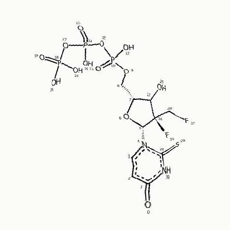 O=c1ccn([C@@H]2O[C@H](COP(=O)(O)OP(=O)(O)OP(=O)(O)O)C(O)[C@]2(F)CF)c(=S)[nH]1